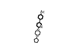 CC(=O)c1ccc(-c2ccc(N3CCN(C4CCCC4)CC3)nc2)cc1